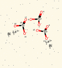 [Bi].[Bi].[La+3].[La+3].[O]=[Ti]([O-])[O-].[O]=[Ti]([O-])[O-].[O]=[Ti]([O-])[O-]